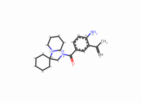 B=C(C)c1cc(C(=O)NCC2(N3CCCCC3)CCCCC2)ccc1N